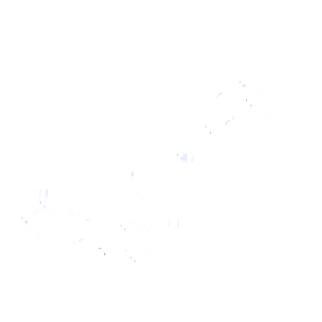 N/C=C\C(=C/N)NC(=O)c1cc2ccc(-c3nc(Nc4ccc5[nH]ncc5c4)ncc3C(F)(F)F)cc2[nH]1